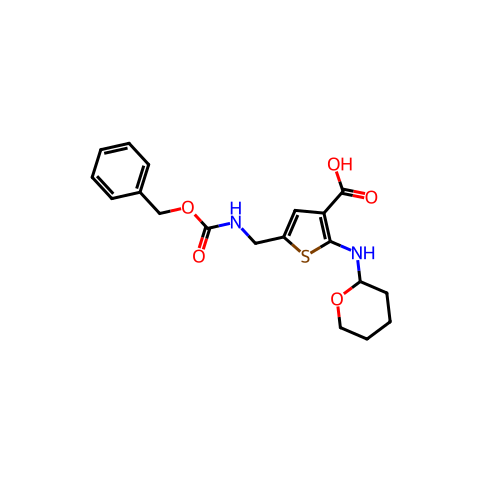 O=C(NCc1cc(C(=O)O)c(NC2CCCCO2)s1)OCc1ccccc1